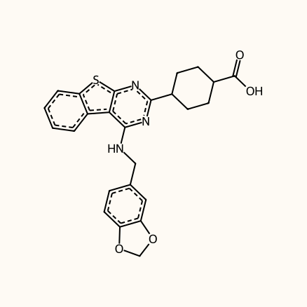 O=C(O)C1CCC(c2nc(NCc3ccc4c(c3)OCO4)c3c(n2)sc2ccccc23)CC1